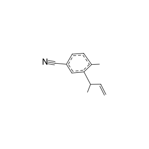 C=CC(C)c1cc(C#N)ccc1C